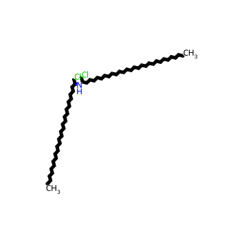 CCCCCCCCCCCCCCCCCCCCCCCCCCCCC(CCl)NC(CCl)CCCCCCCCCCCCCCCCCCCCCCCCCCCC